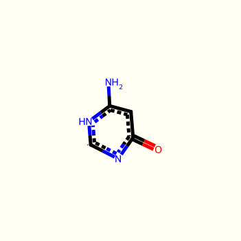 Nc1cc(=O)n[c][nH]1